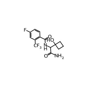 NC(=O)C(NC(=O)c1ccc(F)cc1C(F)(F)F)C1(O)CCC1